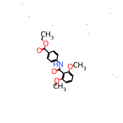 CCOC(=O)c1ccc(NC(=O)c2c(OC)cccc2OC)cc1